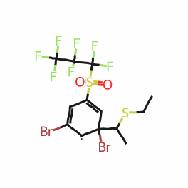 CCSC(C)C1(Br)[CH]C(Br)=CC(S(=O)(=O)C(F)(F)C(F)(F)C(F)(F)F)=C1